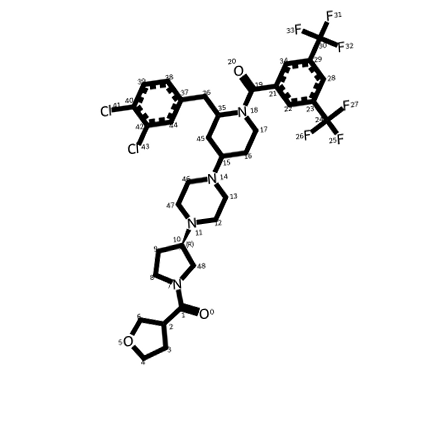 O=C(C1CCOC1)N1CC[C@@H](N2CCN(C3CCN(C(=O)c4cc(C(F)(F)F)cc(C(F)(F)F)c4)C(Cc4ccc(Cl)c(Cl)c4)C3)CC2)C1